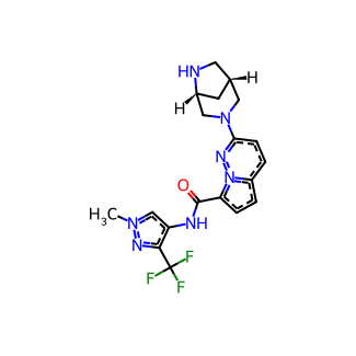 Cn1cc(NC(=O)c2ccc3ccc(N4C[C@H]5CN[C@H](C5)C4)nn23)c(C(F)(F)F)n1